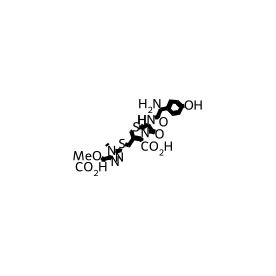 COC(C(=O)O)c1nnc(SCC2=C(C(=O)O)N3C(=O)C(NC(=O)C(N)c4ccc(O)cc4)[C@@H]3SC2)n1C